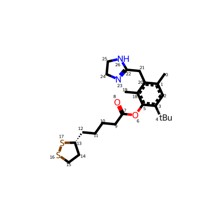 Cc1cc(C(C)(C)C)c(OC(=O)CCCC[C@@H]2CCSS2)c(C)c1CC1=NCCN1